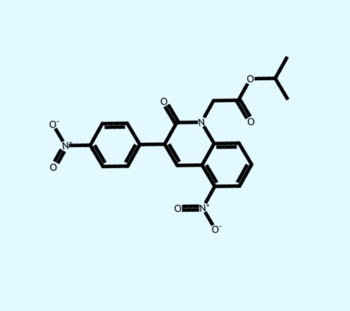 CC(C)OC(=O)Cn1c(=O)c(-c2ccc([N+](=O)[O-])cc2)cc2c([N+](=O)[O-])cccc21